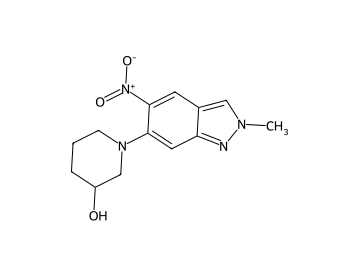 Cn1cc2cc([N+](=O)[O-])c(N3CCCC(O)C3)cc2n1